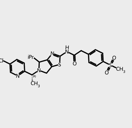 CC(C)C1c2nc(NC(=O)Cc3ccc(S(C)(=O)=O)cc3)sc2CN1[C@H](C)c1ccc(Cl)cn1